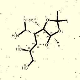 CCCCCCC(N)[C@@H]1[C@H]2OC(C)(C)O[C@H]2O[C@@H]1[C@H](O)CO